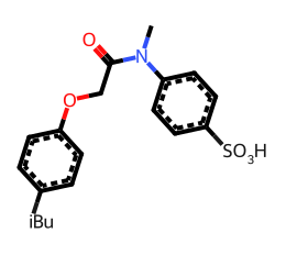 CCC(C)c1ccc(OCC(=O)N(C)c2ccc(S(=O)(=O)O)cc2)cc1